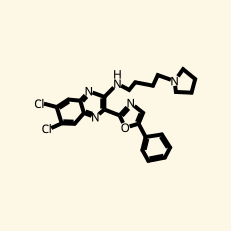 Clc1cc2nc(NCCCCN3CCCC3)c(-c3ncc(-c4ccccc4)o3)nc2cc1Cl